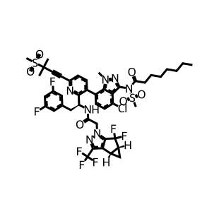 CCCCCCCC(=O)N(c1nn(C)c2c(-c3ccc(C#CC(C)(C)S(C)(=O)=O)nc3[C@H](Cc3cc(F)cc(F)c3)NC(=O)Cn3nc(C(F)(F)F)c4c3C(F)(F)[C@@H]3C[C@H]43)ccc(Cl)c12)S(C)(=O)=O